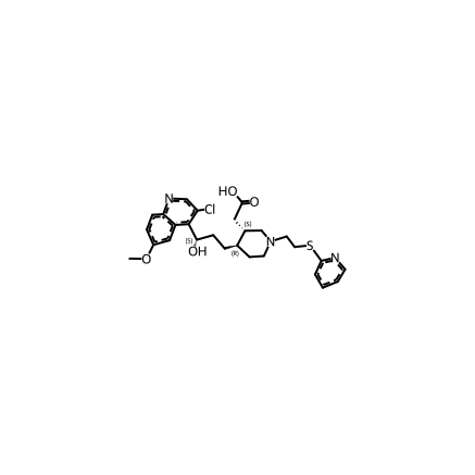 COc1ccc2ncc(Cl)c([C@@H](O)CC[C@@H]3CCN(CCSc4ccccn4)C[C@H]3CC(=O)O)c2c1